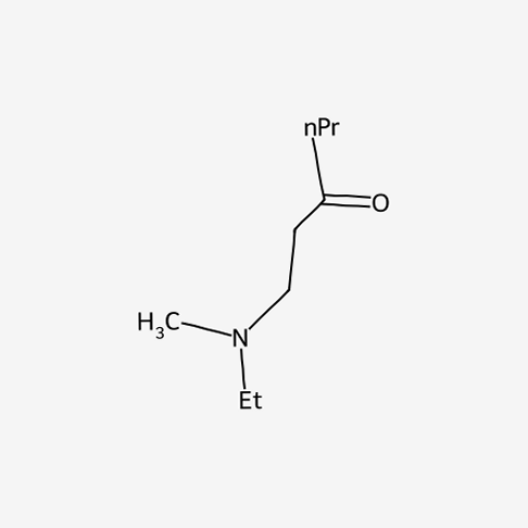 CCCC(=O)CCN(C)CC